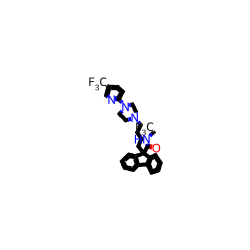 O=C(NCC(F)(F)F)C1(CCCCN2CCN(c3ccc(C(F)(F)F)cn3)CC2)c2ccccc2-c2ccccc21